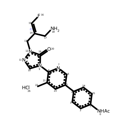 CC(=O)Nc1ccc(-c2cnc(-n3cnn(C/C(=C/F)CN)c3=O)c(C)c2)cc1.Cl